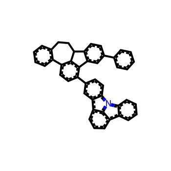 c1ccc(-c2ccc3c(c2)-c2c(-c4ccc5c(c4)c4cccc6c7ccccc7n5c64)ccc4c2C3CCc2ccccc2-4)cc1